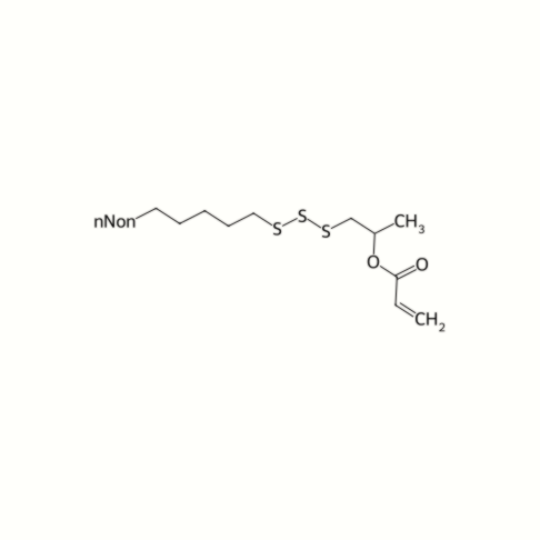 C=CC(=O)OC(C)CSSSCCCCCCCCCCCCCC